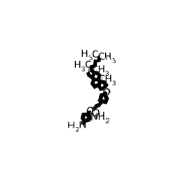 CC(C)CCC[C@@H](C)[C@H]1CCC2C3CC=C4CC(Oc5ccc(C=CC(=O)Oc6ccc(N)cc6N)cc5)CC[C@]4(C)C3CC[C@@]21C